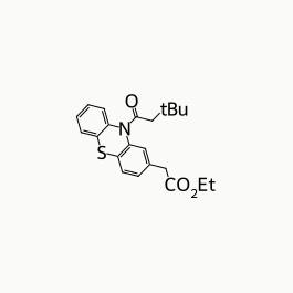 CCOC(=O)Cc1ccc2c(c1)N(C(=O)CC(C)(C)C)c1ccccc1S2